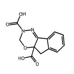 O=C(O)N1COC2(C(=O)O)Cc3ccccc3C2=N1